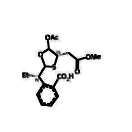 CC[C@@H](c1ccccc1C(=O)O)C1OC(OC(C)=O)[C@H](CC(=O)OC)S1